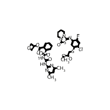 COC(=O)CSc1cc(/N=c2\sc(=O)n3n2CCCC3)c(F)cc1Cl.Cc1cc(C)nc(NC(=O)NS(=O)(=O)c2ccccc2C(=O)OC2COC2)n1